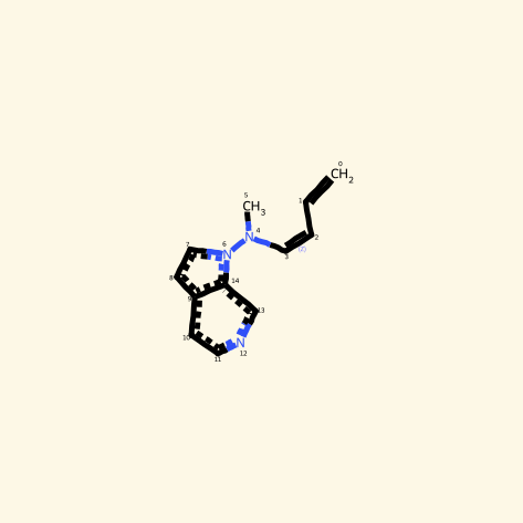 C=C/C=C\N(C)n1ccc2ccncc21